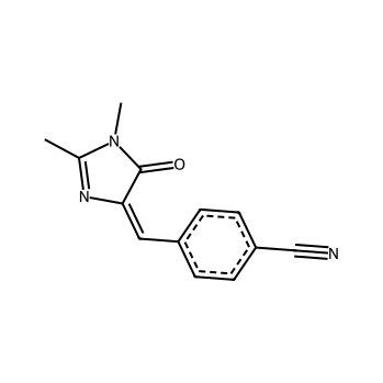 CC1=NC(=Cc2ccc(C#N)cc2)C(=O)N1C